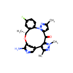 Cc1cc2n(n1)-c1ccc(F)cc1[C@@H](C)Oc1cc(cnc1N)-c1c(C#N)nn(C)c1C2=O